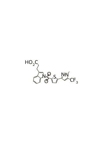 Cn1nc(-c2ccc(S(=O)(=O)n3cc(CCC(=O)O)c4ccccc43)s2)cc1C(F)(F)F